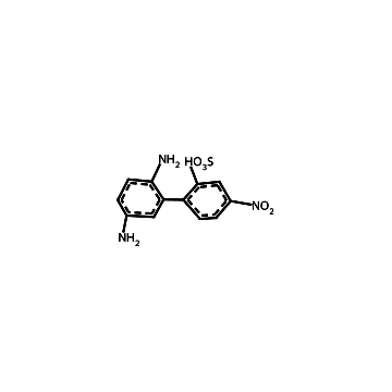 Nc1ccc(N)c(-c2ccc([N+](=O)[O-])cc2S(=O)(=O)O)c1